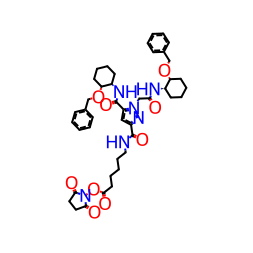 O=C(Cn1nc(C(=O)NCCCCCC(=O)ON2C(=O)CCC2=O)cc1C(=O)N[C@H]1CCCC[C@@H]1OCc1ccccc1)N[C@H]1CCCC[C@@H]1OCc1ccccc1